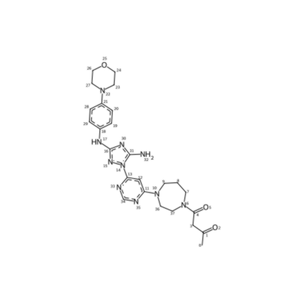 CC(=O)CC(=O)N1CCCN(c2cc(-n3nc(Nc4ccc(N5CCOCC5)cc4)nc3N)ncn2)CC1